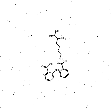 NC(=O)c1ccccc1.NCCCCC(N)C(=O)O.Nc1ccccc1C(=O)O